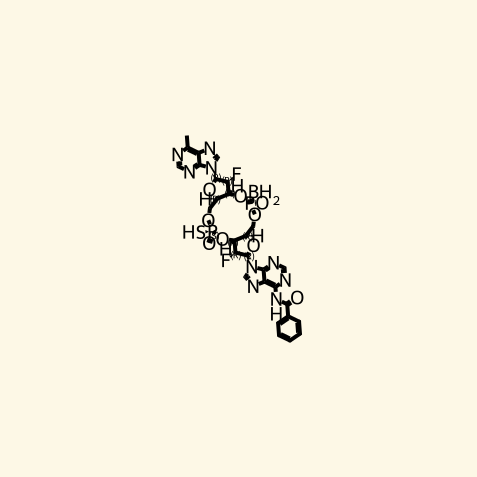 BP1(=O)OC[C@H]2O[C@@H](n3cnc4c(NC(=O)c5ccccc5)ncnc43)[C@H](F)[C@@H]2O[P@@](=O)(S)OC[C@H]2O[C@@H](n3cnc4c(C)ncnc43)[C@H](F)[C@@H]2O1